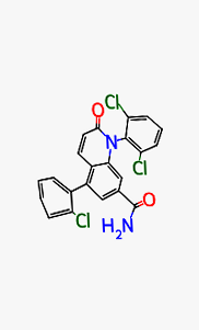 NC(=O)c1cc(-c2ccccc2Cl)c2ccc(=O)n(-c3c(Cl)cccc3Cl)c2c1